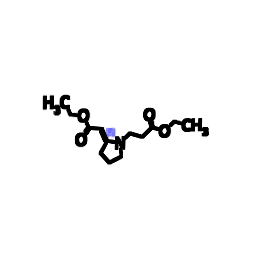 CCOC(=O)/C=C1\CCCN1CCC(=O)OCC